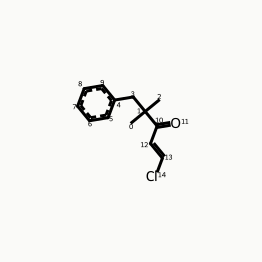 CC(C)(Cc1ccccc1)C(=O)C=CCl